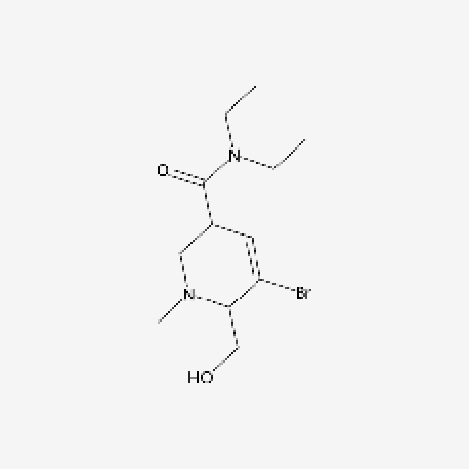 CCN(CC)C(=O)C1C=C(Br)C(CO)N(C)C1